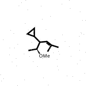 CO[C@@H](C)C(C=C(C)C)C1CC1